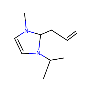 C=CCC1N(C)C=CN1C(C)C